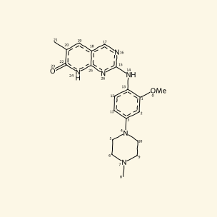 COc1cc(N2CCN(C)CC2)ccc1Nc1ncc2cc(C)c(=O)[nH]c2n1